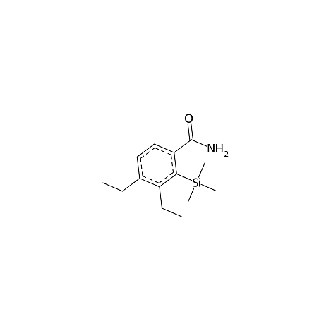 CCc1ccc(C(N)=O)c([Si](C)(C)C)c1CC